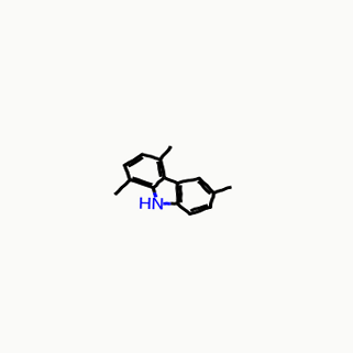 Cc1ccc2[nH]c3c(C)ccc(C)c3c2c1